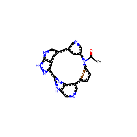 CC(C)C(=O)n1c2cncc(c2)c2cnc3[nH]nc(c4nc5c(cncc5c5ccc1s5)[nH]4)c3c2